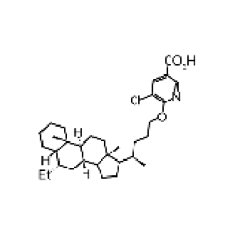 CC[C@H]1C[C@H]2C3CC[C@H]([C@H](C)CCCOc4ncc(C(=O)O)cc4Cl)[C@@]3(C)CC[C@@H]2[C@@]2(C)CCCC[C@@H]12